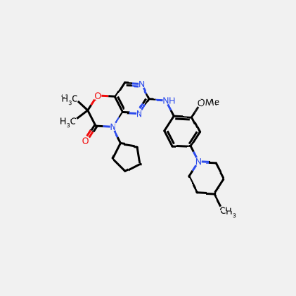 COc1cc(N2CCC(C)CC2)ccc1Nc1ncc2c(n1)N(C1CCCC1)C(=O)C(C)(C)O2